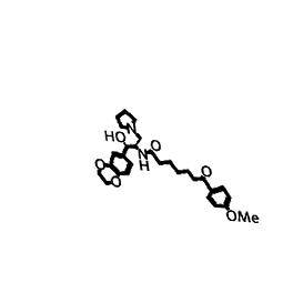 COc1ccc(C(=O)CCCCCC(=O)N[C@H](CN2CCCC2)[C@H](O)c2ccc3c(c2)OCCO3)cc1